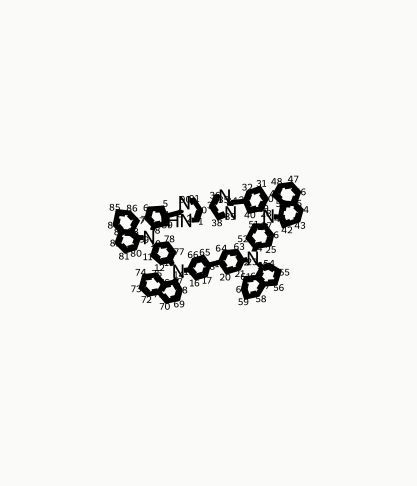 C1=CNC(c2cccc(N(c3ccc(N(c4ccc(-c5ccc(N(c6ccc(N(c7cccc(-c8ncccn8)c7)c7cccc8ccccc78)cc6)c6cccc7ccccc67)cc5)cc4)c4cccc5ccccc45)cc3)c3cccc4ccccc34)c2)N=C1